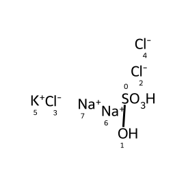 O=S(=O)(O)O.[Cl-].[Cl-].[Cl-].[K+].[Na+].[Na+]